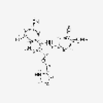 CCc1cc(C#N)cc2c(NCc3ccc(OC)c(Cl)c3)c(COCC3CCCN3)cnc12